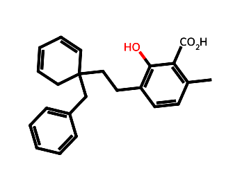 Cc1ccc(CCC2(Cc3ccccc3)C=CC=CC2)c(O)c1C(=O)O